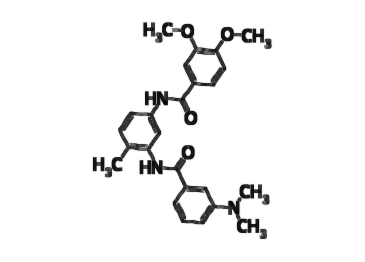 COc1ccc(C(=O)Nc2ccc(C)c(NC(=O)c3cccc(N(C)C)c3)c2)cc1OC